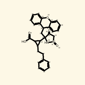 O=C(O)C1C(CCc2ccccc2)C1C1(CC2c3ccccc3Oc3ccccc32)N[N+](=O)CC1=O